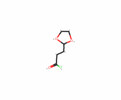 O=C(Cl)CCC1OCCO1